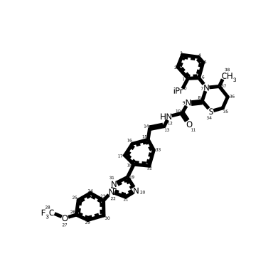 CC(C)c1ccccc1N1/C(=N/C(=O)N/C=C/c2ccc(-c3ncn(-c4ccc(OC(F)(F)F)cc4)n3)cc2)SCCC1C